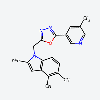 CCCc1cc2c(C#N)c(C#N)ccc2n1Cc1nnc(-c2cncc(C(F)(F)F)c2)o1